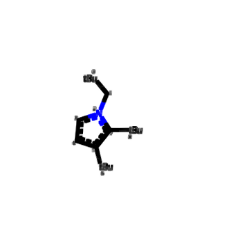 CC(C)(C)Cn1ccc(C(C)(C)C)c1C(C)(C)C